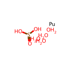 O.O.O.O.O=S(O)O.[Pu]